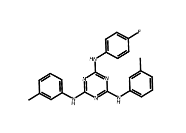 Cc1cccc(Nc2nc(Nc3ccc(F)cc3)nc(Nc3cccc(C)c3)n2)c1